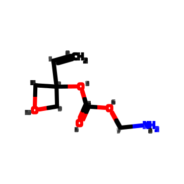 C=CC1(OC(=O)OCN)COC1